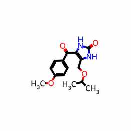 COc1ccc(C(=O)c2[nH]c(=O)[nH]c2COC(C)C)cc1